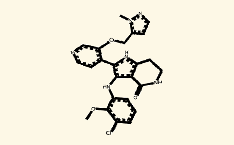 COc1c(Cl)cccc1Nc1c(-c2ccncc2OCc2ccnn2C)[nH]c2c1C(=O)NCC2